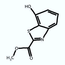 COC(=O)c1nc2cccc(O)c2s1